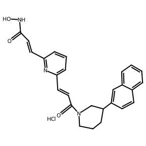 Cl.O=C(/C=C/c1cccc(/C=C/C(=O)N2CCCC(c3ccc4ccccc4c3)C2)n1)NO